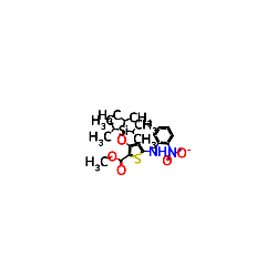 COC(=O)c1sc(Nc2ccccc2[N+](=O)[O-])cc1O[Si](C(C)C)(C(C)C)C(C)C